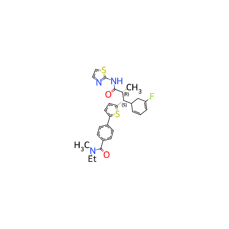 CCN(C)C(=O)c1ccc(-c2ccc([C@@H](C3C=CC=C(F)C3)[C@@H](C)C(=O)Nc3nccs3)s2)cc1